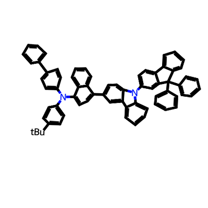 CC(C)(C)c1ccc(N(c2ccc(-c3ccccc3)cc2)c2ccc(-c3ccc4c(c3)c3ccccc3n4-c3ccc4c(c3)C(c3ccccc3)(c3ccccc3)c3ccccc3-4)c3ccccc23)cc1